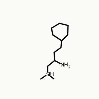 C[SiH](C)CC(N)CCC1CCCCC1